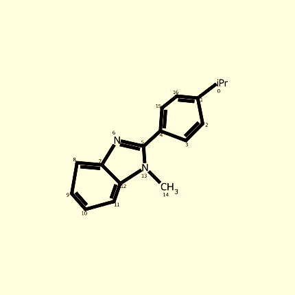 CC(C)c1ccc(-c2nc3ccccc3n2C)cc1